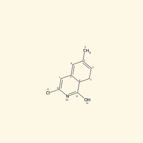 CC1=CCC2C(=C1)C=C(Cl)N=C2O